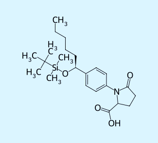 CCCCC[C@H](O[Si](C)(C)C(C)(C)C)c1ccc(N2C(=O)CCC2C(=O)O)cc1